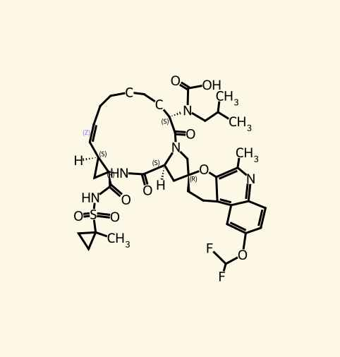 Cc1nc2ccc(OC(F)F)cc2c2c1O[C@]1(CC2)C[C@H]2C(=O)N[C@]3(C(=O)NS(=O)(=O)C4(C)CC4)C[C@H]3/C=C\CCCCC[C@H](N(CC(C)C)C(=O)O)C(=O)N2C1